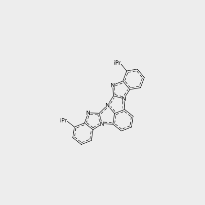 CC(C)c1cccc2c1nc1n2c2cccc3c2n1c1nc2c(C(C)C)cccc2n31